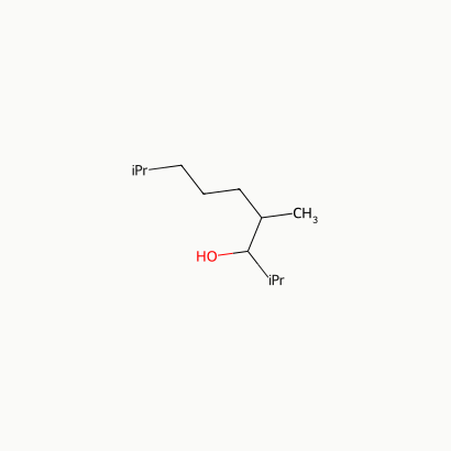 CC(C)CCCC(C)C(O)C(C)C